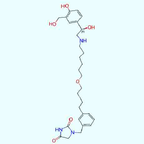 O=C1CN(Cc2cccc(CCCCOCCCCCCNC[C@H](O)c3ccc(O)c(CO)c3)c2)C(=O)N1